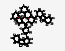 c1ccc(-c2cccc3cccc(-c4ccccc4N(c4ccc(-c5cccc6c5oc5ccccc56)cc4)c4ccc(-c5cccc6oc7ccccc7c56)cc4)c23)cc1